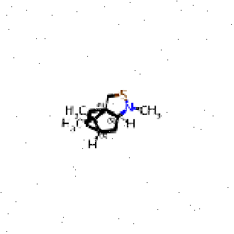 CN1SC[C@@]23CC[C@@H](C[C@H]12)C3(C)C